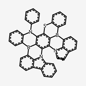 c1ccc(N2c3ccccc3B3c4c2c2c5c(c4-n4c6ccccc6c6cccc3c64)-n3c4ccccc4c4cccc(c43)B5c3ccccc3S2)cc1